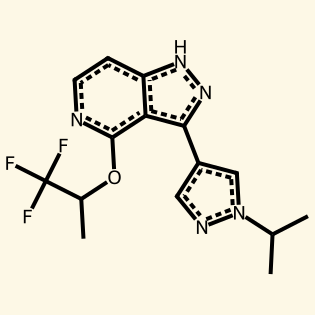 CC(C)n1cc(-c2n[nH]c3ccnc(OC(C)C(F)(F)F)c23)cn1